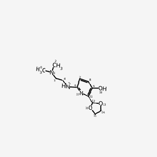 CN(C)CCNc1ccc(O)c(C2OCCO2)n1